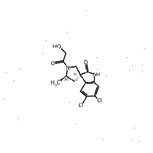 C[C@@H]1C[C@]2(CN1C(=O)CO)C(=O)Nc1cc(Cl)c(Cl)cc12